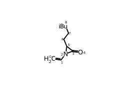 C=CN1C(=O)C1CCC(C)CC